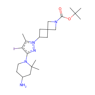 Cc1c(I)c(N2CCC(N)CC2(C)C)nn1C1CC2(C1)CN(C(=O)OC(C)(C)C)C2